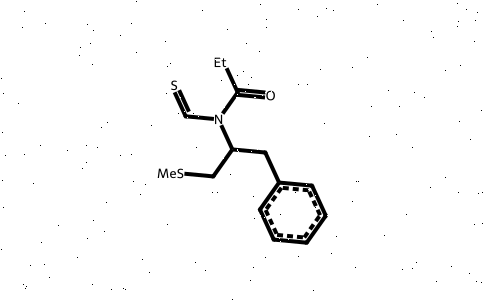 CCC(=O)N(C=S)C(CSC)Cc1ccccc1